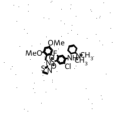 COc1ccc(CN(c2nccs2)S(=O)(=O)c2cc(Cl)c(N[C@H]3CC=CCC3N(C)C)cc2F)c(OC)c1